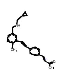 Cc1ccc(CNCC2CC2)cc1C#Cc1ccc(/C=C/C(=O)O)cc1